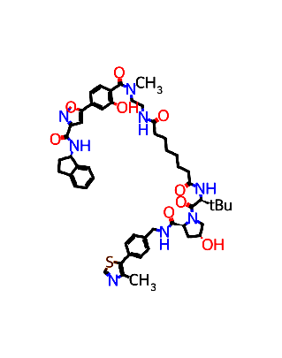 Cc1ncsc1-c1ccc(CNC(=O)[C@@H]2C[C@@H](O)CN2C(=O)[C@@H](NC(=O)CCCCCCC(=O)NCCN(C)C(=O)c2ccc(-c3cc(C(=O)N[C@@H]4CCc5ccccc54)no3)cc2O)C(C)(C)C)cc1